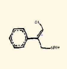 CC/C=C(/CNC)c1ccccc1